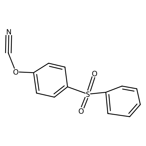 N#COc1ccc(S(=O)(=O)c2ccccc2)cc1